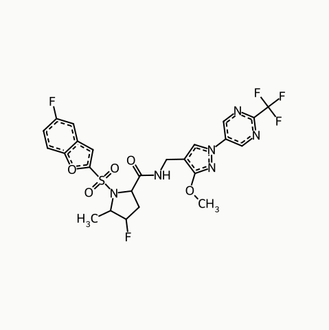 COc1nn(-c2cnc(C(F)(F)F)nc2)cc1CNC(=O)C1CC(F)C(C)N1S(=O)(=O)c1cc2cc(F)ccc2o1